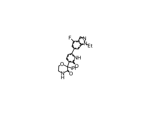 CCn1ncc2c(F)cc(-c3ccc(C4(C(C)C)OCCNC4=O)c(=O)[nH]3)cc21